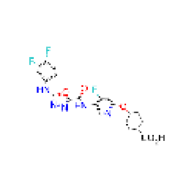 O=C(Nc1cnc(OC2CCC(C(=O)O)CC2)cc1F)c1nnc(Nc2ccc(F)c(F)c2)o1